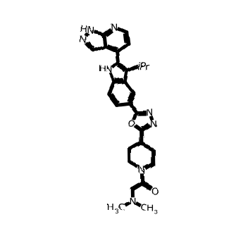 CC(C)c1c(-c2ccnc3[nH]ncc23)[nH]c2ccc(-c3nnc(C4CCN(C(=O)CN(C)C)CC4)o3)cc12